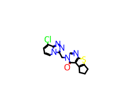 O=c1c2c3c(sc2ncn1Cc1nnc2c(Cl)cccn12)CCC3